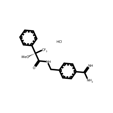 CO[C@](C(=O)NCc1ccc(C(=N)N)cc1)(c1ccccc1)C(F)(F)F.Cl